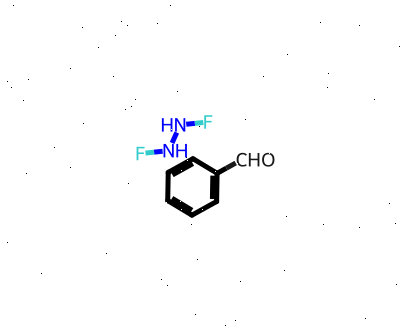 FNNF.O=Cc1ccccc1